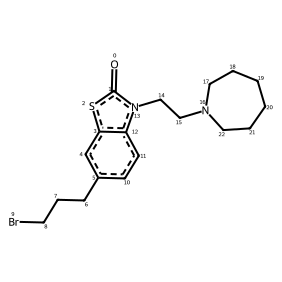 O=c1sc2cc(CCCBr)ccc2n1CCN1CCCCCC1